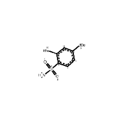 CC(C)(C)c1ccc(S(N)(=O)=O)c(C(C)(C)C)c1